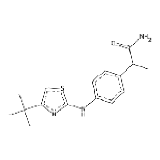 CC(C(N)=O)c1ccc(Nc2nc(C(C)(C)C)cs2)cc1